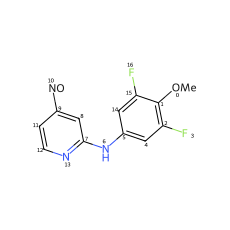 COc1c(F)cc(Nc2cc(N=O)ccn2)cc1F